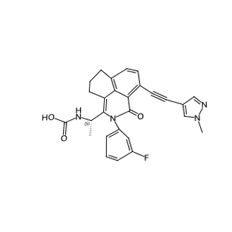 C[C@H](NC(=O)O)c1c2c3c(ccc(C#Cc4cnn(C)c4)c3c(=O)n1-c1cccc(F)c1)CCC2